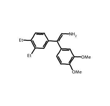 CCc1ccc(/C(=C/N)c2ccc(OC)c(OC)c2)cc1CC